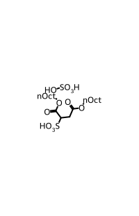 CCCCCCCCOC(=O)CC(C(=O)OCCCCCCCC)S(=O)(=O)O.O=S(=O)(O)O